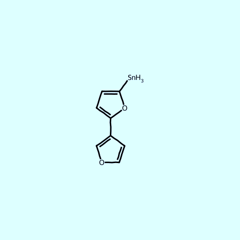 [SnH3][c]1ccc(-c2ccoc2)o1